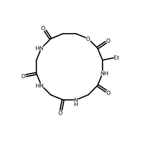 CCC1NC(=O)CNC(=O)CNC(=O)CNC(=O)CCOC1=O